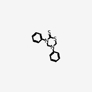 S=C1SCN(c2ccccc2)CN1c1ccccc1